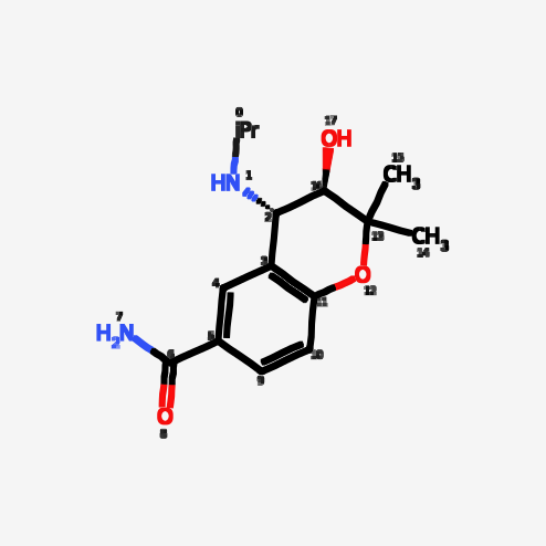 CC(C)N[C@H]1c2cc(C(N)=O)ccc2OC(C)(C)[C@@H]1O